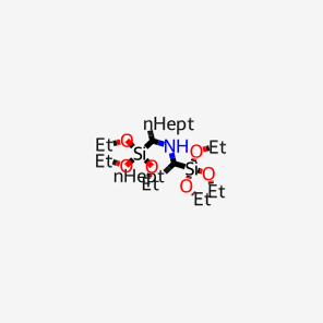 CCCCCCCC(NC(CCCCCCC)[Si](OCC)(OCC)OCC)[Si](OCC)(OCC)OCC